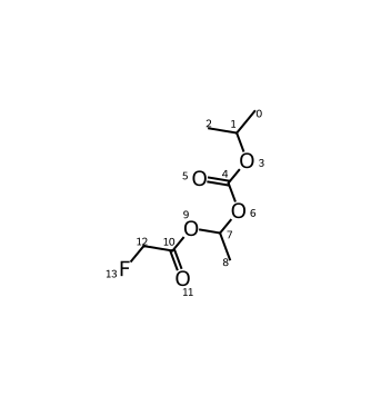 CC(C)OC(=O)OC(C)OC(=O)CF